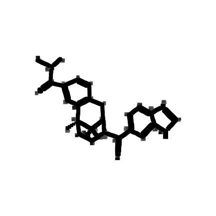 C[C@@H]1C2Cc3ccc(C(=O)N(C)C)cc3[C@]1(C)CCN2C(=O)c1ccc2nc[nH]c2c1